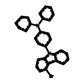 Brc1cccc2c1c1ccccc1n2-c1ccc(N(c2ccccc2)c2ccccc2)cc1